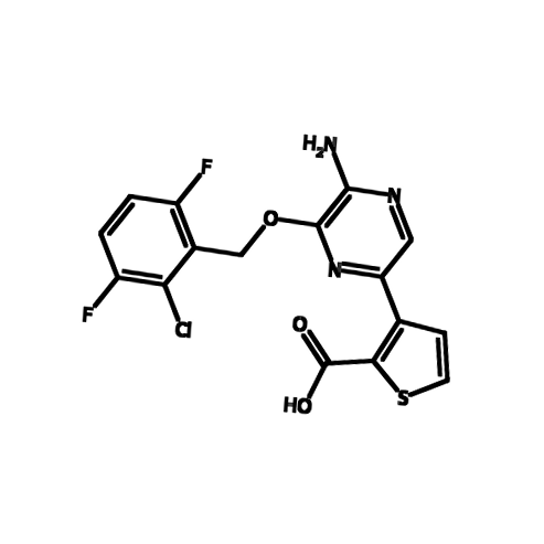 Nc1ncc(-c2ccsc2C(=O)O)nc1OCc1c(F)ccc(F)c1Cl